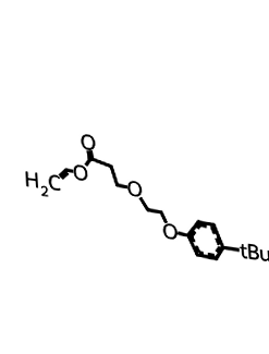 C=COC(=O)CCOCCOc1ccc(C(C)(C)C)cc1